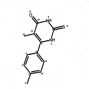 Cc1ccc(-c2[nH]c(=S)[nH]c(=O)c2C)cc1